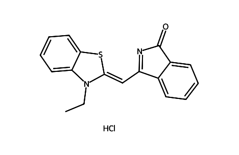 CCN1/C(=C/C2=NC(=O)c3ccccc32)Sc2ccccc21.Cl